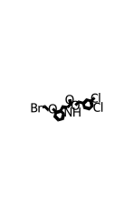 O=C(OCc1ccc(Cl)c(Cl)c1)c1cc2c(OCCBr)cccc2[nH]1